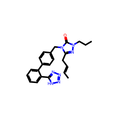 CC=CCc1nn(CCC)c(=O)n1Cc1ccc(-c2ccccc2-c2nnn[nH]2)cc1